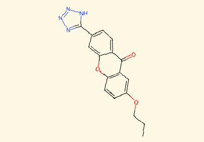 CCCOc1ccc2oc3cc(-c4nnn[nH]4)ccc3c(=O)c2c1